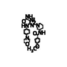 COc1ccc(C(=O)NC2CCCN(c3cnc(C(N)=O)c(Nc4ccc(N5CCOCC5)cc4)n3)C2)cc1